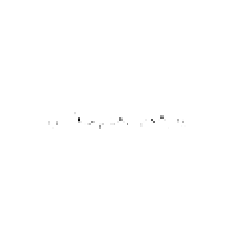 COC(=O)/C=C/C(=O)OCC(=O)COC(=O)/C=C/C(=O)OC